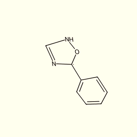 C1=N[C](c2ccccc2)ON1